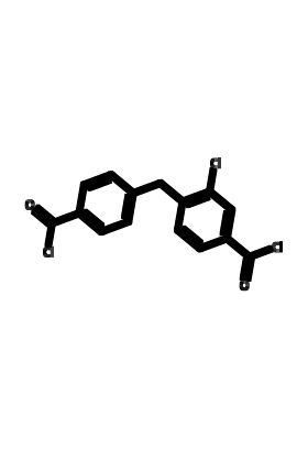 O=C(Cl)c1ccc(Cc2ccc(C(=O)Cl)cc2Cl)cc1